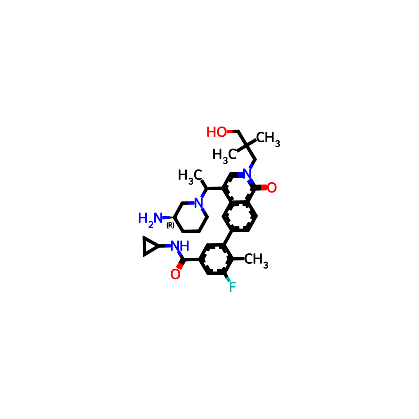 Cc1c(F)cc(C(=O)NC2CC2)cc1-c1ccc2c(=O)n(CC(C)(C)CO)cc(C(C)N3CCC[C@@H](N)C3)c2c1